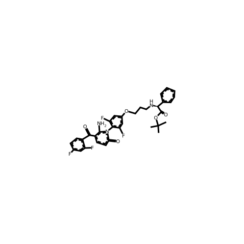 CC(C)(C)OC(=O)[C@@H](NCCCOc1cc(F)c(-n2c(N)c(C(=O)c3ccc(F)cc3F)ccc2=O)c(F)c1)c1ccccc1